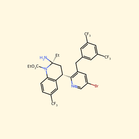 CCOC(=O)N1c2ccc(C(F)(F)F)cc2[C@@H](c2ncc(Br)cc2Cc2cc(C(F)(F)F)cc(C(F)(F)F)c2)C[C@@]1(N)CC